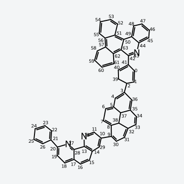 C1=CC(C2=CC3=CC=C4C(c5cnc6c(ccc7ccc(-c8ccccc8)nc76)c5)=CC=C5C=CC(=C2)C3C54)CC=C1c1nc2ccccc2c2c3ccccc3c3ccccc3c12